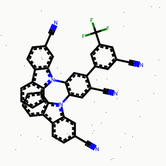 N#Cc1cc(-c2cc(-n3c4ccccc4c4ccc(C#N)cc43)c(-n3c4ccccc4c4ccc(C#N)cc43)cc2C#N)cc(C(F)(F)F)c1